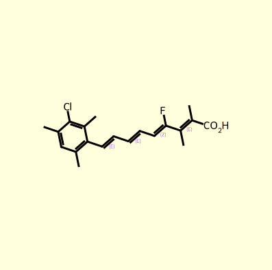 C\C(C(=O)O)=C(C)/C(F)=C/C=C/C=C/c1c(C)cc(C)c(Cl)c1C